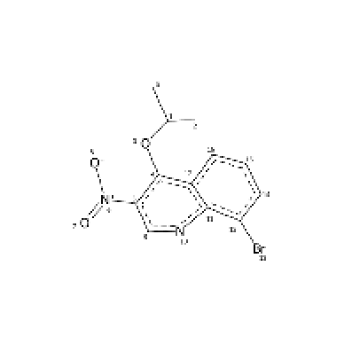 CC(C)Oc1c([N+](=O)[O-])cnc2c(Br)cccc12